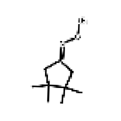 CC(C)(C)ON=C1CC(C)(C)C(C)(C)C1